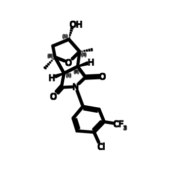 C[C@]12O[C@](C)(C[C@@H]1O)[C@H]1C(=O)N(c3ccc(Cl)c(C(F)(F)F)c3)C(=O)[C@H]12